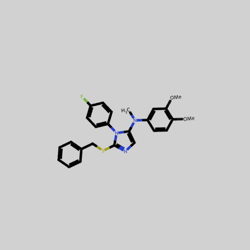 COc1ccc(N(C)c2cnc(SCc3ccccc3)n2-c2ccc(F)cc2)cc1OC